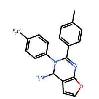 Cc1ccc(C2=Nc3occc3C(N)N2c2ccc(C(F)(F)F)cc2)cc1